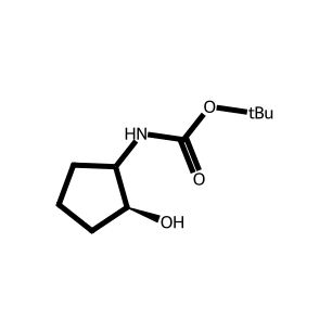 CC(C)(C)OC(=O)NC1CCC[C@@H]1O